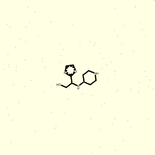 OCC(NC1CCNCC1)c1nccs1